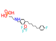 O=P(O)(O)CCCNCc1ccc(CCCCCCc2ccc(F)cc2)c(OC(F)(F)F)c1